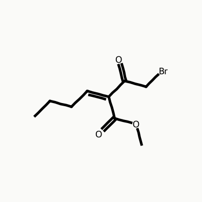 CCCC=C(C(=O)CBr)C(=O)OC